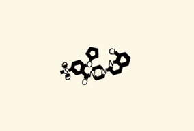 CS(=O)(=O)c1ccc(OC2CCCC2)c(C(=O)N2CCN(c3ccc4cccc(Cl)c4n3)CC2)c1